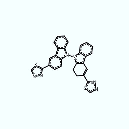 C1=C(c2nncs2)CCc2c1c1ccccc1n2-n1c2ccccc2c2cc(-c3nncs3)ccc21